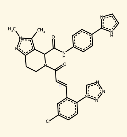 Cc1c2c(nn1C)CCN(C(=O)/C=C/c1cc(Cl)ccc1-n1cnnn1)C2C(=O)Nc1ccc(-c2ncc[nH]2)cc1